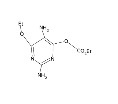 CCOC(=O)Oc1nc(N)nc(OCC)c1N